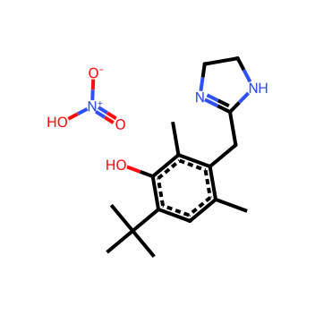 Cc1cc(C(C)(C)C)c(O)c(C)c1CC1=NCCN1.O=[N+]([O-])O